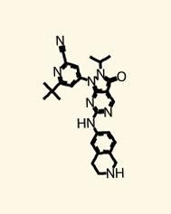 CC(C)n1c(=O)c2cnc(Nc3ccc4c(c3)CCNC4)nc2n1-c1cc(C#N)nc(C(C)(C)C)c1